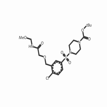 COCNC(=O)COCc1cc(S(=O)(=O)N2CCN(C(=O)OC(C)(C)C)CC2)ccc1Cl